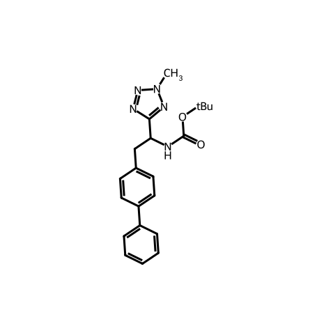 Cn1nnc(C(Cc2ccc(-c3ccccc3)cc2)NC(=O)OC(C)(C)C)n1